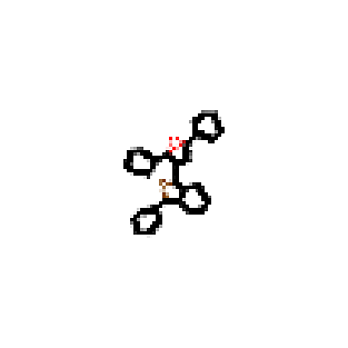 c1ccc(-c2cc(-c3sc(-c4ccccc4)c4ccccc34)c(-c3ccccc3)o2)cc1